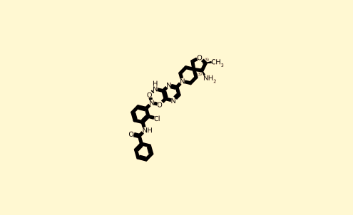 C[C@@H]1OCC2(CCN(c3cnc4on(-c5cccc(NC(=O)c6ccccc6)c5Cl)o[nH]c4n3)CC2)[C@@H]1N